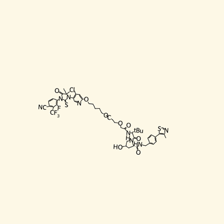 Cc1ncsc1-c1ccc(CNC(=O)[C@@H]2C[C@@H](O)CN2C(=O)[C@@H](NC(=O)COCCCOCCCCCOc2cc(Cl)c(N3C(=S)N(c4ccc(C#N)c(C(F)(F)F)c4F)C(=O)C3(C)C)cn2)C(C)(C)C)cc1